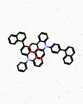 C1=CCCC(N(c2ccc(-c3cccc4ccccc34)cc2)c2ccccc2C2=CC(c3ccccc3N(c3ccccc3)c3ccc(-c4cccc5ccccc45)cc3)CC=C2)=C1